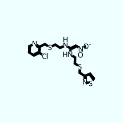 O=[N+]([O-])C=C(NCCSCc1ccsn1)NCCSCc1ncccc1Cl